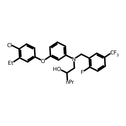 CCCC(O)CN(Cc1cc(C(F)(F)F)ccc1F)c1cccc(Oc2ccc(Cl)c(CC)c2)c1